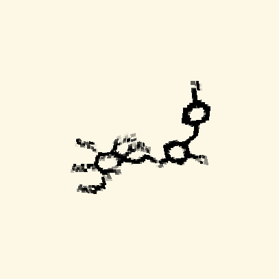 CCc1ccc(Cc2ccc(OCC[C@]3(OC)O[C@H](COC(C)=O)[C@@H](OC(C)=O)[C@H](OC(C)=O)[C@H]3OC(C)=O)cc2Cl)cc1